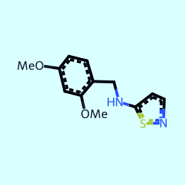 COc1ccc(CNc2ccns2)c(OC)c1